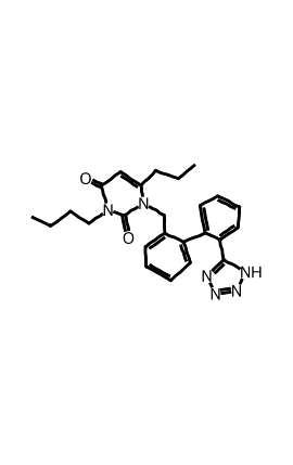 CCCCn1c(=O)cc(CCC)n(Cc2ccccc2-c2ccccc2-c2nnn[nH]2)c1=O